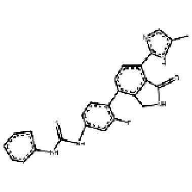 Cc1cnc(-c2ccc(-c3ccc(NC(=S)Nc4ccccc4)cc3F)c3c2C(=O)NC3)[nH]1